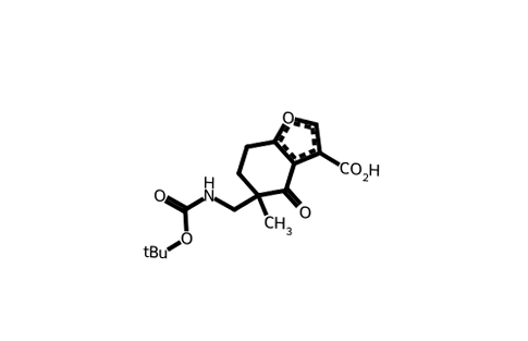 CC(C)(C)OC(=O)NCC1(C)CCc2occ(C(=O)O)c2C1=O